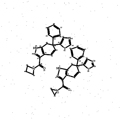 O=C(c1n[nH]c2c1C=CC(c1ccccc1)(c1cncs1)C2)N1CC1.O=C(c1n[nH]c2c1C=CC(c1ccccc1)(c1cncs1)C2)N1CCC1